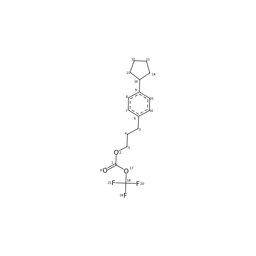 O=C(OCCCc1ccc(C2CCCC2)cc1)OC(F)(F)F